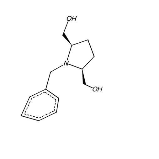 OC[C@@H]1CC[C@H](CO)N1Cc1ccccc1